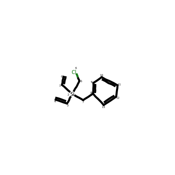 C=C[Si](C=C)(CCl)Cc1ccccc1